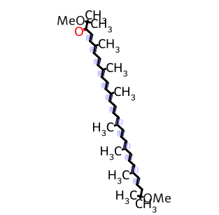 COC(C)(C)C/C=C/C(C)=C/C=C/C(C)=C/C=C/C(C)=C/C=C/C=C(C)/C=C/C=C(C)/C=C/C=C(C)/C=C/C(=O)C(C)(C)OC